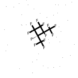 FC(F)(F)[C@@]1(F)C(F)(F)C(F)(F)[C@]1(F)C(F)(F)F